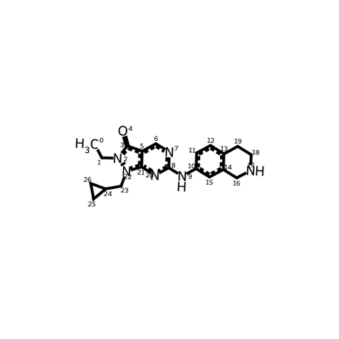 CCn1c(=O)c2cnc(Nc3ccc4c(c3)CNCC4)nc2n1CC1CC1